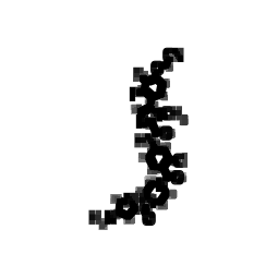 Cn1c(-c2ccc(OCC#N)c(F)c2F)cnc1C(=O)Nc1ccc(C(=O)N2CCN(C(=O)[C@@H]3C[C@H](N)CN3)CC2)c(Cl)c1